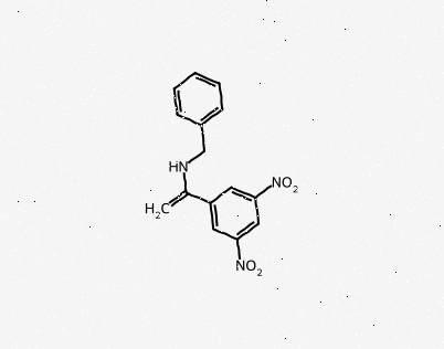 C=C(NCc1ccccc1)c1cc([N+](=O)[O-])cc([N+](=O)[O-])c1